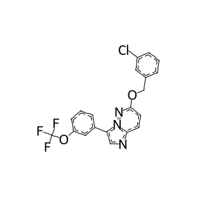 FC(F)(F)Oc1cccc(-c2cnc3ccc(OCc4cccc(Cl)c4)nn23)c1